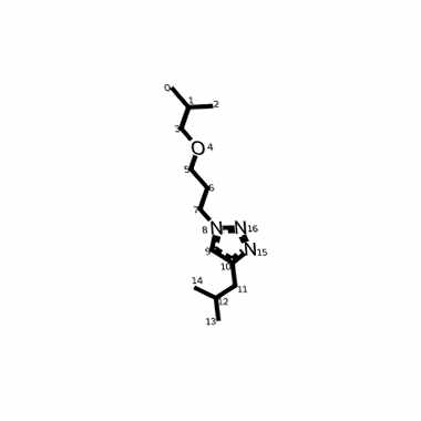 CC(C)COCCCn1cc(CC(C)C)nn1